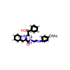 COc1ccc(NCCNC(=O)C(CC2CCCCC2)NC(=O)[C@@H](O)c2ccccc2)cc1